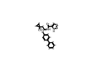 O=C(N[C@H](Cc1ccc(-c2ccccc2)cc1)CC1(C(=O)O)CC1)c1cnn[nH]1